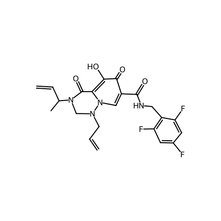 C=CCN1CN(C(C)C=C)C(=O)c2c(O)c(=O)c(C(=O)NCc3c(F)cc(F)cc3F)cn21